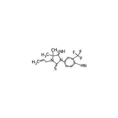 C=CCN1C(=S)N(c2ccc(C#N)c(C(F)(F)F)c2)C(=N)C1(C)C